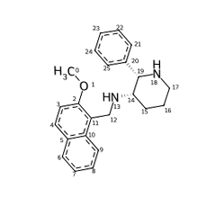 COc1ccc2ccccc2c1CN[C@H]1CCCN[C@H]1c1ccccc1